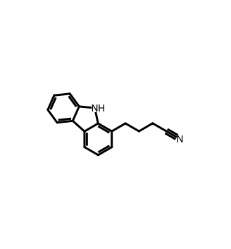 N#CCCCc1cccc2c1[nH]c1ccccc12